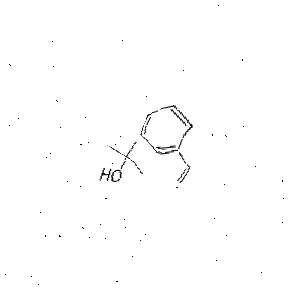 C=Cc1ccccc1.CC(C)(C)O